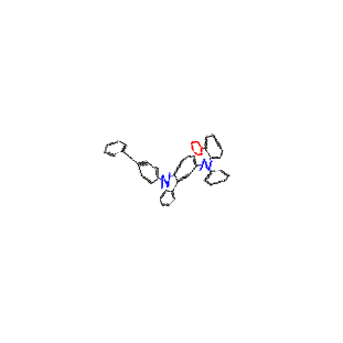 c1ccc(-c2ccc(-n3c4ccccc4c4cc5c(cc43)Oc3ccccc3N5c3ccccc3)cc2)cc1